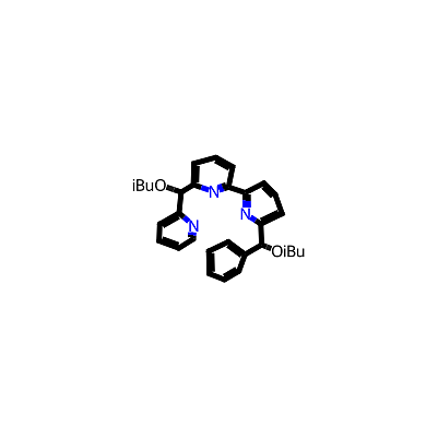 CC(C)COC(c1ccccc1)c1cccc(-c2cccc(C(OCC(C)C)c3ccccn3)n2)n1